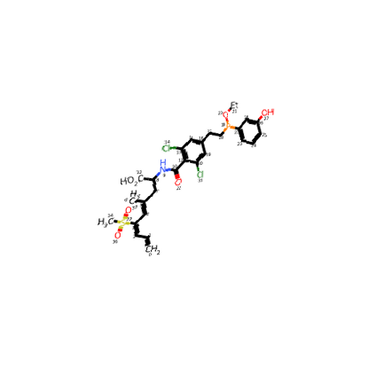 C=C/C=C(\C=C(/C)CC(NC(=O)c1c(Cl)cc(CCP(OCC)c2cccc(O)c2)cc1Cl)C(=O)O)S(C)(=O)=O